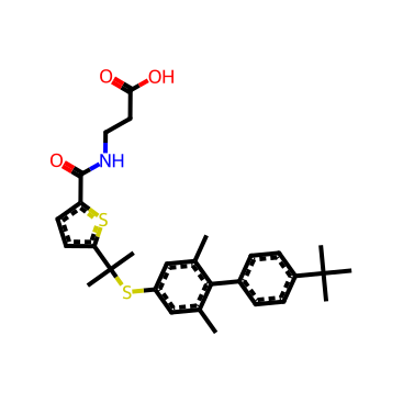 Cc1cc(SC(C)(C)c2ccc(C(=O)NCCC(=O)O)s2)cc(C)c1-c1ccc(C(C)(C)C)cc1